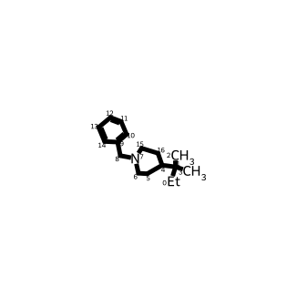 CCC(C)(C)C1CCN(Cc2ccccc2)CC1